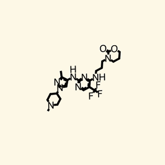 Cc1nn(C2CCN(C)CC2)cc1Nc1ncc(C(F)(F)F)c(NCCCN2CCCOC2=O)n1